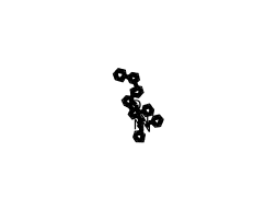 c1ccc(-c2cccc(-c3cccc(-c4cccc5c4oc4c(-c6ccccc6)c(-c6nc(-c7ccccc7)nc(-c7ccccc7)n6)ccc45)c3)c2)cc1